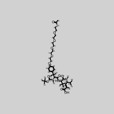 CC(=O)SCCOCCOCCOCCOCCOc1ccc(C(C)(C)C(C(=O)NC(C(=O)N(C)C(C=C(C)C(=O)O)C(C)C)C(C)(C)C)N(C)C(=O)OC(C)(C)C)cc1